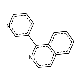 [c]1ncccc1-c1nccc2ccccc12